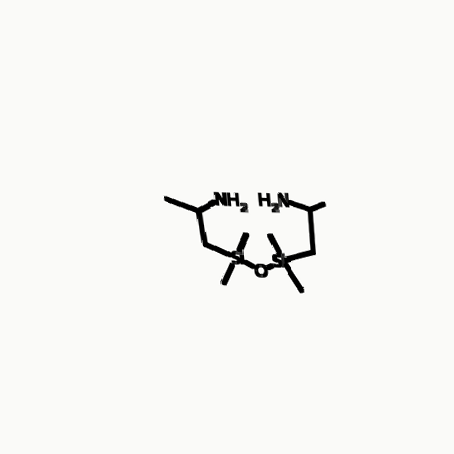 CC(N)C[Si](C)(C)O[Si](C)(C)CC(C)N